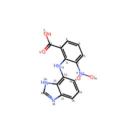 O=C(O)c1cccc([N+](=O)[O-])c1Nc1cccc2nc[nH]c12